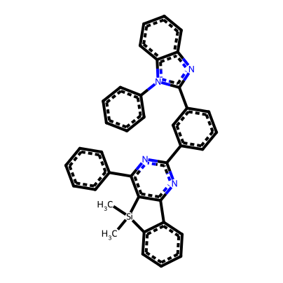 C[Si]1(C)c2ccccc2-c2nc(-c3cccc(-c4nc5ccccc5n4-c4ccccc4)c3)nc(-c3ccccc3)c21